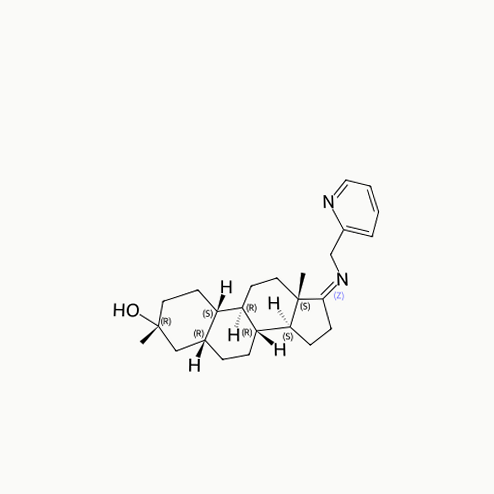 C[C@@]1(O)CC[C@H]2[C@H](CC[C@@H]3[C@@H]2CC[C@]2(C)/C(=N\Cc4ccccn4)CC[C@@H]32)C1